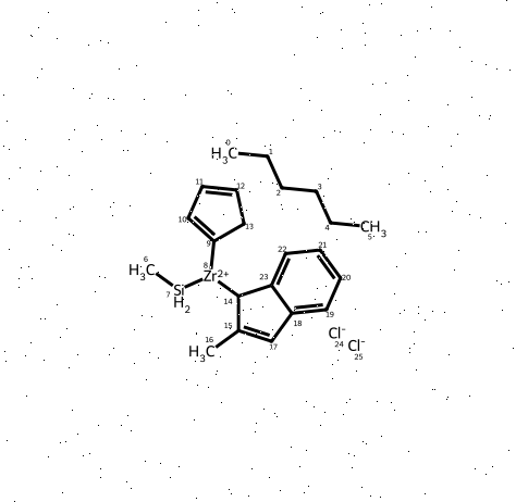 CCCCCC.C[SiH2][Zr+2]([C]1=CC=CC1)[CH]1C(C)=Cc2ccccc21.[Cl-].[Cl-]